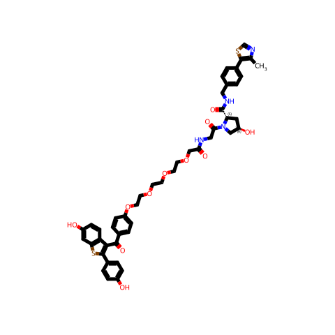 Cc1ncsc1-c1ccc(CNC(=O)[C@@H]2C[C@@H](O)CN2C(=O)CNC(=O)COCCOCCOCCOc2ccc(C(=O)c3c(-c4ccc(O)cc4)sc4cc(O)ccc34)cc2)cc1